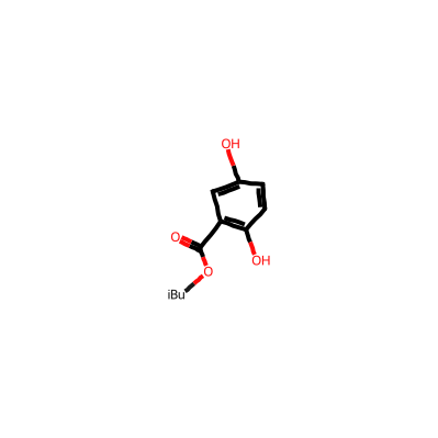 CCC(C)OC(=O)c1cc(O)ccc1O